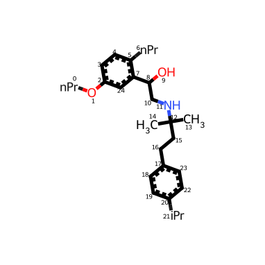 CCCOc1ccc(CCC)c(C(O)CNC(C)(C)CCc2ccc(C(C)C)cc2)c1